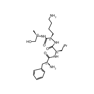 CC(C)C[C@@H](NC(=O)[C@@H](N)Cc1ccccc1)C(=O)N[C@H](CCCCN)C(=O)N[C@H](C)CO